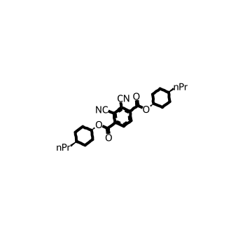 CCC[C@H]1CC[C@H](OC(=O)c2ccc(C(=O)O[C@H]3CC[C@H](CCC)CC3)c(C#N)c2C#N)CC1